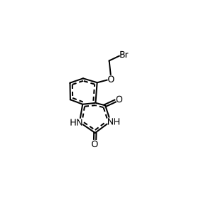 O=c1[nH]c(=O)c2c(OCBr)cccc2[nH]1